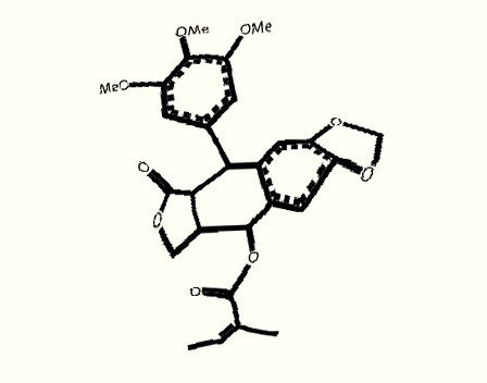 C/C=C(/C)C(=O)OC1c2cc3c(cc2C(c2cc(OC)c(OC)c(OC)c2)C2C(=O)OCC12)OCO3